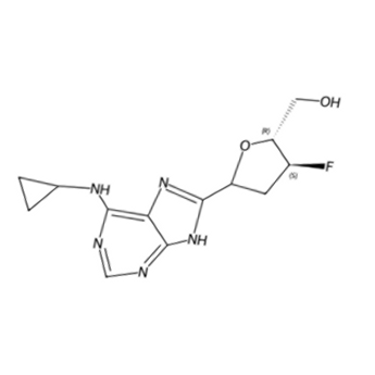 OC[C@H]1OC(c2nc3c(NC4CC4)ncnc3[nH]2)C[C@@H]1F